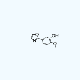 COc1ccc(-c2ncco2)cc1O